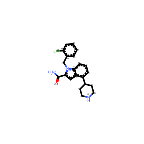 NC(=O)c1cc2c(C3CCNCC3)cccc2n1Cc1ccccc1Cl